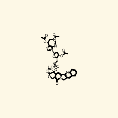 CC[C@@]1(OP(=O)(O)OC[C@H]2O[C@@H](n3cnc4c3N=CN(C(C)=O)C[C@H]4OC(C)=O)C[C@@H]2OC(C)=O)C(=O)OCc2c1cc1n(c2=O)Cc2cc3ccccc3nc2-1